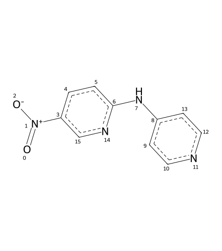 O=[N+]([O-])c1ccc(Nc2ccncc2)nc1